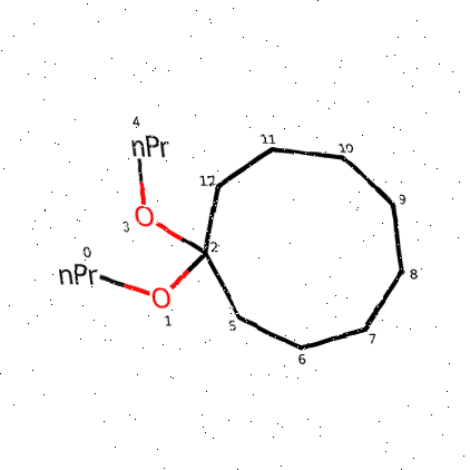 CCCOC1(OCCC)CCCCCCCC1